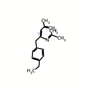 C=C(C)/C=C(/Cc1ccc(CC)cc1)N=C(C)C